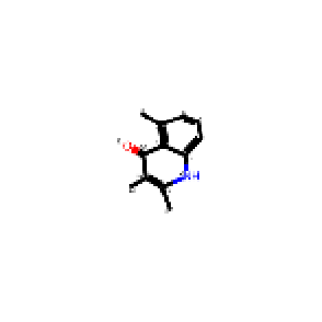 Cc1[nH]c2cccc(C)c2c(=O)c1C